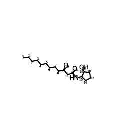 CCCCCCCCCC(=O)CC(=O)NC1CCCC1O